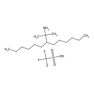 CCCCCCC(CCCCCC)C(C)(C)N.O=S(=O)(O)C(F)(F)F